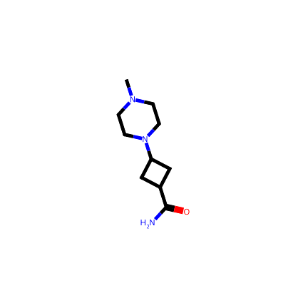 CN1CCN(C2CC(C(N)=O)C2)CC1